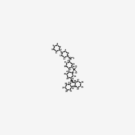 CN(c1ccc(-c2ccccc2)cc1)c1ccc2c(c1)C(C)(C)c1cc(-n3c4ccccc4c4ccccc43)ccc1-2